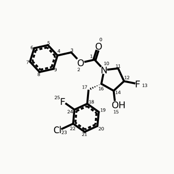 O=C(OCc1ccccc1)N1CC(F)C(O)[C@@H]1Cc1cccc(Cl)c1F